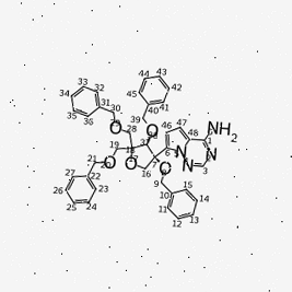 Nc1ncnn2c([C@]3(OCc4ccccc4)COC(COCc4ccccc4)(COCc4ccccc4)[C@H]3OCc3ccccc3)ccc12